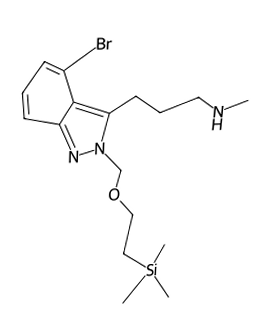 CNCCCc1c2c(Br)cccc2nn1COCC[Si](C)(C)C